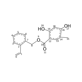 C=Cc1ccccc1COC(=O)c1cc(C)c(O)cc1O